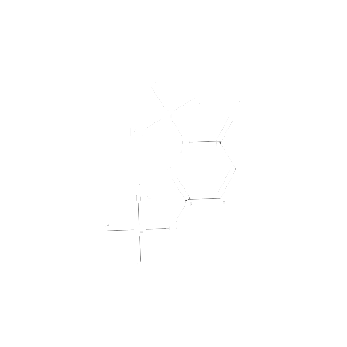 CCCC[Si](C)(C)OC(=O)/C=C\C(=O)O[Si](C)(C)CCCC